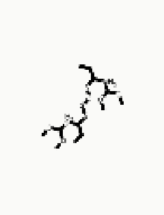 CCC([SiH2]C(OC)OC)SSSSC(CC)[SiH2]C(OC)OC